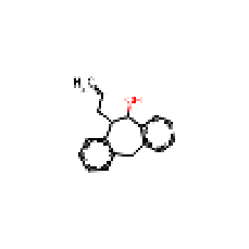 C=CCC1c2ccccc2Cc2ccccc2C1O